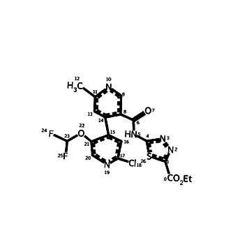 CCOC(=O)c1nnc(NC(=O)c2cnc(C)cc2-c2cc(Cl)ncc2OC(F)F)s1